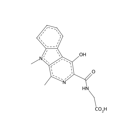 Cc1nc(C(=O)NCC(=O)O)c(O)c2c3ccccc3n(C)c12